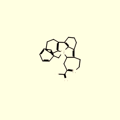 O=C([O-])C1=NCCC2=C3CCCC4=C3[N+](Cc3ccccc3)(C3=C4CCCC3)C2C1